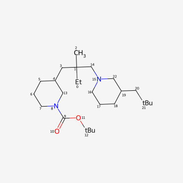 CCC(C)(CC1CCCN(C(=O)OC(C)(C)C)C1)CN1CCCC(CC(C)(C)C)C1